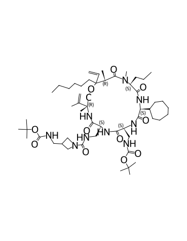 C=CC1(CCCCCC)OC[C@@](C)(C(=C)C)NC(=O)[C@H](CNC(=O)N2CC(CNC(=O)OC(C)(C)C)C2)NC(=O)[C@H](CNC(=O)OC(C)(C)C)NC(=O)[C@H](C2CCCCCC2)NC(=O)[C@H](CCC)N(C)C(=O)[C@@H]1C